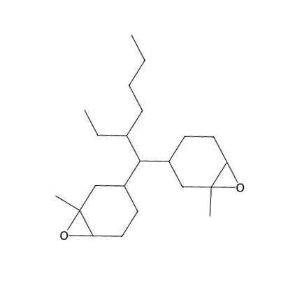 CCCCC(CC)C(C1CCC2OC2(C)C1)C1CCC2OC2(C)C1